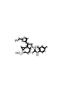 Cc1ccc(NC(=O)C[C@H](CCC(=O)O)c2noc(-c3csc(CC(C)C)n3)c2C2CC2)c(Cl)c1